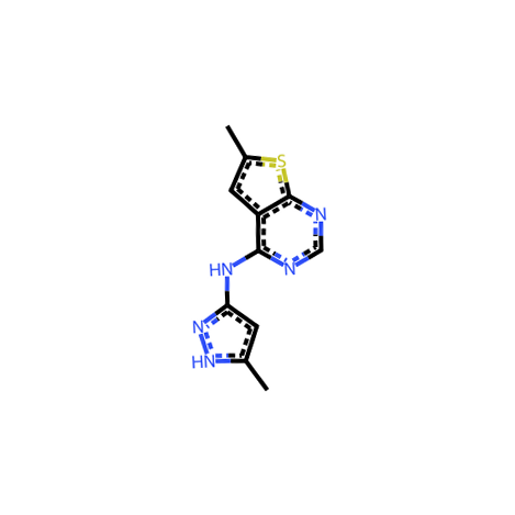 Cc1cc(Nc2ncnc3sc(C)cc23)n[nH]1